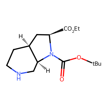 CCOC(=O)[C@@H]1C[C@@H]2CCNC[C@@H]2N1C(=O)OC(C)(C)C